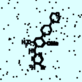 [2H]c1nc(Nc2cc(OC)c(N3CCC(N4CCOCC4)CC3)cc2C)ncc1Br